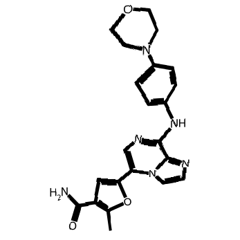 Cc1oc(-c2cnc(Nc3ccc(N4CCOCC4)cc3)c3nccn23)cc1C(N)=O